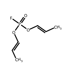 CC=COP(=O)(F)OC=CC